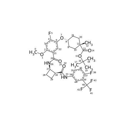 COc1cc(F)c(O[C@H]2CC[C@@](C)(C(=O)OC(C)(C)C)CC2)cc1C(=O)N[C@@H]1CC[C@@H]1C(=O)Nc1ccc(F)c(C(F)(F)F)c1